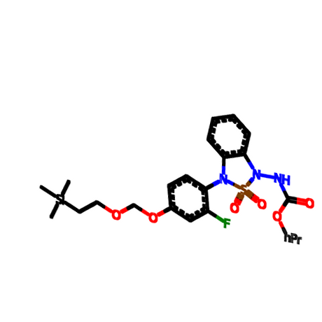 CCCOC(=O)NN1c2ccccc2N(c2ccc(OCOCC[Si](C)(C)C)cc2F)S1(=O)=O